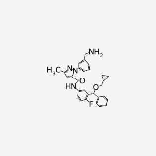 Cc1cc(C(=O)Nc2ccc(F)c(C(OCC3CC3)c3ccccc3)c2)n(-c2cccc(CN)c2)n1